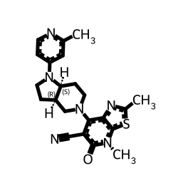 Cc1cc(N2CC[C@@H]3CN(c4c(C#N)c(=O)n(C)c5sc(C)nc45)CC[C@@H]32)ccn1